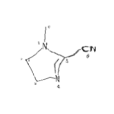 CN1[C]CN=C1C#N